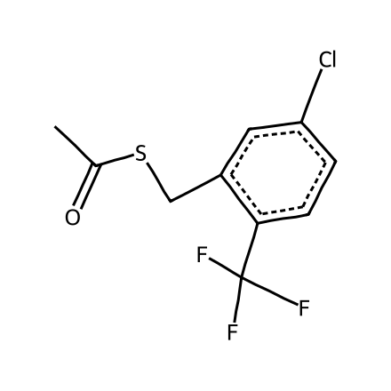 CC(=O)SCc1cc(Cl)ccc1C(F)(F)F